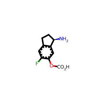 N[C@@H]1CCc2cc(F)c(OC(=O)O)cc21